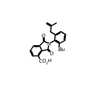 C=C(C)Cc1cccc(C(C)CC)c1N1C(=O)c2cccc(C(=O)O)c2C1=O